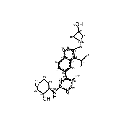 CC(C)c1c(CN2CC(O)C2)cnc2ccc(-c3nc(N[C@@H]4CCOC[C@H]4O)ncc3F)cc12